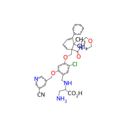 CC1(C)C(c2ccccc2)=CC=CC1(COc1cc(OCc2cncc(C#N)c2)c(CNC(CN)C(=O)O)cc1Cl)C(=O)N1CCOCC1